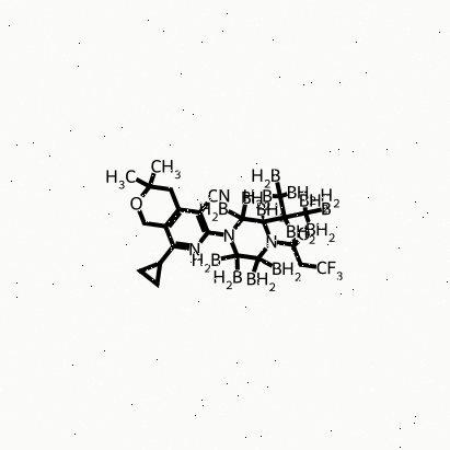 BC(B)(B)C(B)(C(B)(B)B)[C@@]1(B)N(C(=O)CC(F)(F)F)C(B)(B)C(B)(B)N(c2nc(C3CC3)c3c(c2C#N)CC(C)(C)OC3)C1(B)B